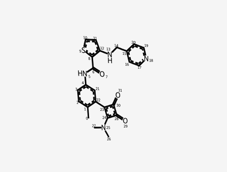 Cc1ccc(NC(=O)c2sccc2NCc2ccncc2)cc1-c1c(N(C)C)c(=O)c1=O